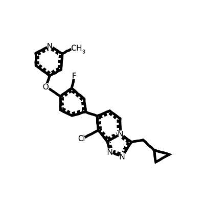 Cc1cc(Oc2ccc(-c3ccn4c(CC5CC5)nnc4c3Cl)cc2F)ccn1